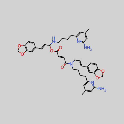 Cc1cc(N)nc(CCCCNC(/C=C/c2ccc3c(c2)OCO3)OC(=O)/C=C/C(=O)N(C/C=C/c2ccc3c(c2)OCO3)CCCCc2cc(C)cc(N)n2)c1